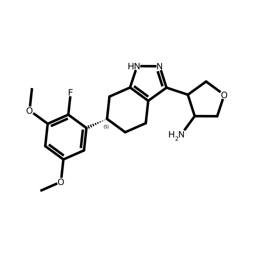 COc1cc(OC)c(F)c([C@H]2CCc3c(C4COCC4N)n[nH]c3C2)c1